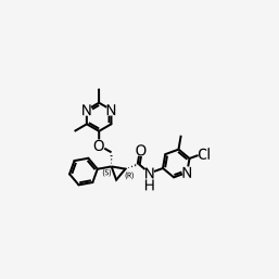 Cc1ncc(OC[C@@]2(c3ccccc3)C[C@H]2C(=O)Nc2cnc(Cl)c(C)c2)c(C)n1